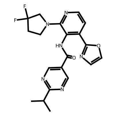 CC(C)c1ncc(C(=O)Nc2c(-c3ncco3)ccnc2N2CCC(F)(F)C2)cn1